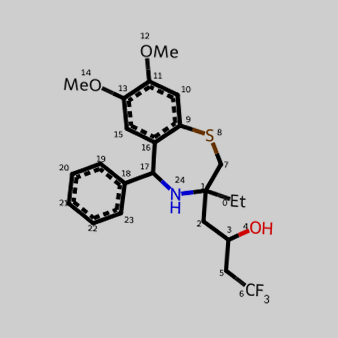 CCC1(CC(O)CC(F)(F)F)CSc2cc(OC)c(OC)cc2C(c2ccccc2)N1